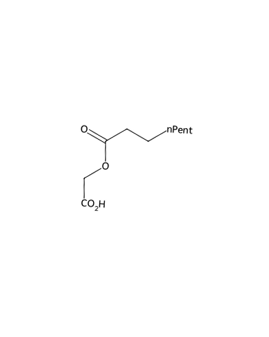 CCCCCCCC(=O)OCC(=O)O